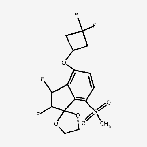 CS(=O)(=O)c1ccc(OC2CC(F)(F)C2)c2c1C1(OCCO1)C(F)C2F